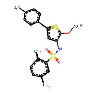 Cc1ccc(C)c(S(=O)(=O)Nc2cc(-c3ccc([N+](=O)[O-])cc3)sc2OC(=O)O)c1